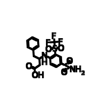 NS(=O)(=O)c1ccc(NC(CC(=O)O)Cc2ccccc2)c(S(=O)(=O)C(F)(F)F)c1